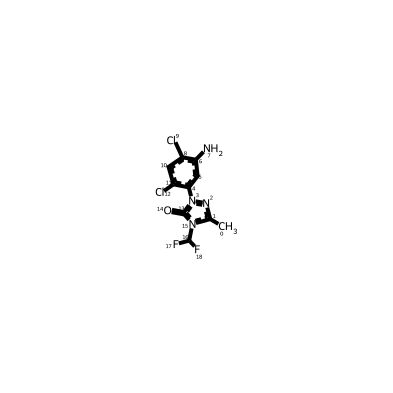 Cc1nn(-c2cc(N)c(Cl)cc2Cl)c(=O)n1C(F)F